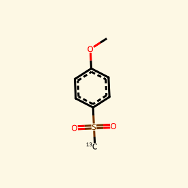 COc1ccc(S([13CH3])(=O)=O)cc1